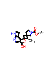 CCCOC(=O)N1CCC2(C1)CC1(OB(O)c3cnc4[nH]ccc4c31)[C@H]2C